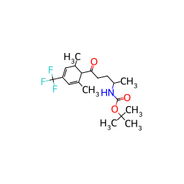 CC1=CC(C(F)(F)F)=CC(C)C1C(=O)CCC(C)NC(=O)OC(C)(C)C